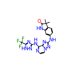 CC1(C)C(=O)Nc2cc(Nc3nc4c(Nc5n[nH]c(C(F)(F)F)n5)nccn4n3)ccc21